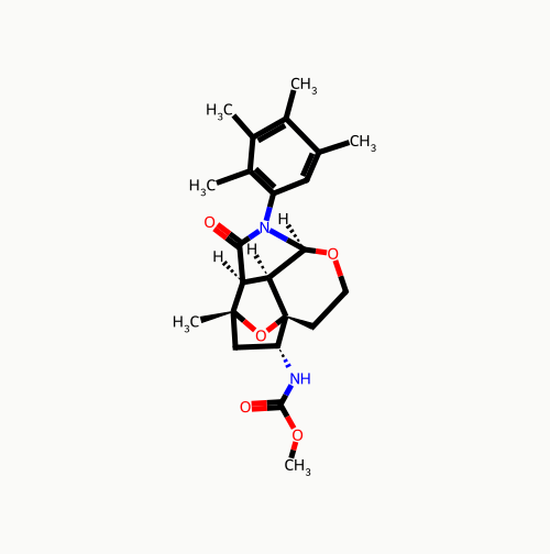 COC(=O)N[C@@H]1C[C@@]2(C)O[C@@]13CCO[C@H]1[C@@H]3[C@@H]2C(=O)N1c1cc(C)c(C)c(C)c1C